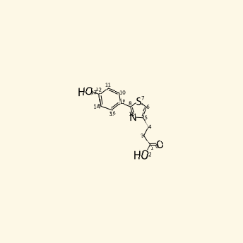 O=C(O)CCc1csc(-c2ccc(O)cc2)n1